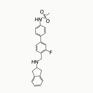 CS(=O)(=O)Nc1ccc(-c2ccc(CNC3Cc4ccccc4C3)c(F)c2)cc1